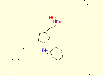 C=[PH](O)CCC1CCC(NC2CCCCC2)C1